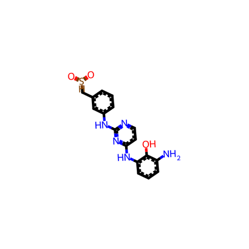 Nc1cccc(Nc2ccnc(Nc3cccc(C[SH](=O)=O)c3)n2)c1O